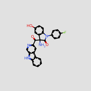 NC1(C(=O)c2cc3c(cn2)[nH]c2ccccc23)C(=O)N(c2ccc(F)cc2)c2ccc(O)cc21